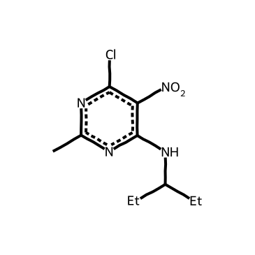 CCC(CC)Nc1nc(C)nc(Cl)c1[N+](=O)[O-]